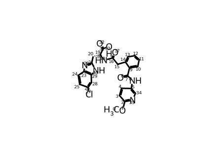 COc1ccc(NC(=O)c2ccccc2CC(=O)N[C@H](Cc2nc3ccc(Cl)cc3[nH]2)C(=O)O)cn1